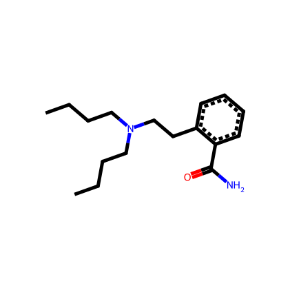 CCCCN(CCCC)CCc1ccccc1C(N)=O